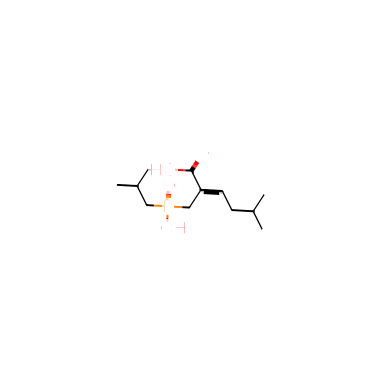 CC(C)CC=C(CP(=O)(O)CC(C)C)C(=O)O